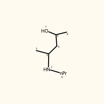 CCCNC(C)CC(C)O